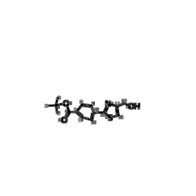 CC(C)(C)OC(=O)c1ccc(-c2nc(CO)cs2)cc1